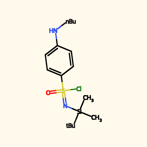 CCCCNc1ccc(S(=O)(Cl)=N[Si](C)(C)C(C)(C)C)cc1